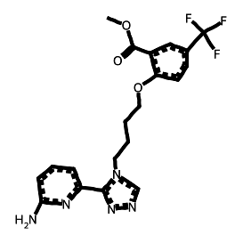 COC(=O)c1cc(C(F)(F)F)ccc1OCCCCn1cnnc1-c1cccc(N)n1